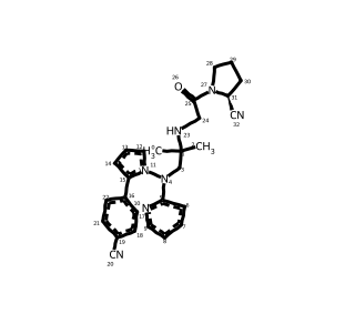 CC(C)(CN(c1ccccn1)n1cccc1-c1ccc(C#N)cc1)NCC(=O)N1CCC[C@H]1C#N